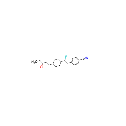 CCC(=O)CCC1CCC(C(F)Cc2ccc(C#N)cc2)CC1